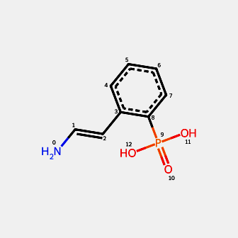 NC=Cc1ccccc1P(=O)(O)O